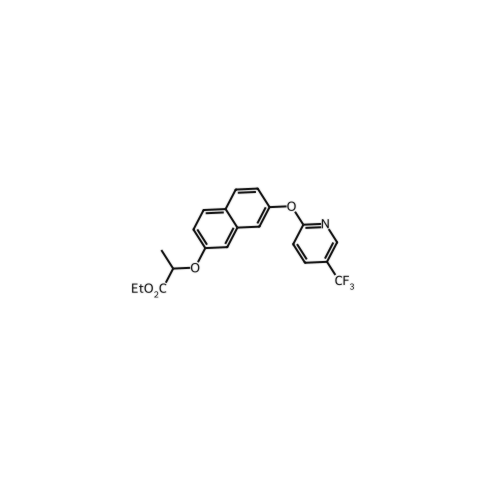 CCOC(=O)C(C)Oc1ccc2ccc(Oc3ccc(C(F)(F)F)cn3)cc2c1